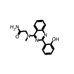 CN(CC(N)=O)c1nc(-c2ccccc2O)nc2ccccc12